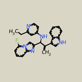 C=C(c1c[nH]c2ccccc12)C(Nc1ccnc(CC)c1)c1cn2c(F)cccc2n1